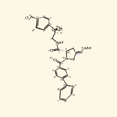 CO/N=C1\C[C@@H](C(=O)NC[C@H](O)c2ccc([N+](=O)[O-])cc2)N(C(=O)c2ccc(-c3ccccn3)cc2)C1